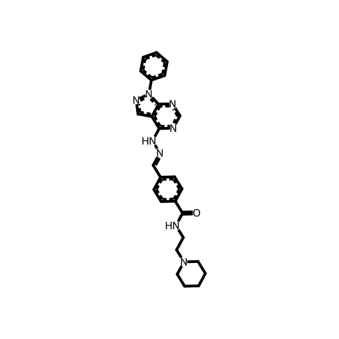 O=C(NCCN1CCCCC1)c1ccc(C=NNc2ncnc3c2cnn3-c2ccccc2)cc1